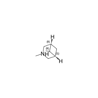 C[C@@H]1[C@@H]2C[C@H]1CN(C)C2